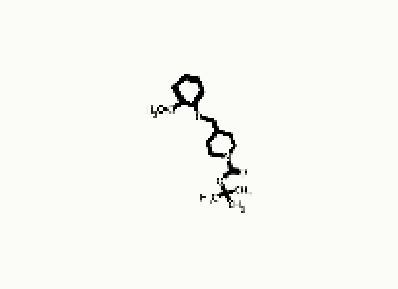 COc1ccccc1OCC1CCN(C(=O)OC(C)(C)C)CC1